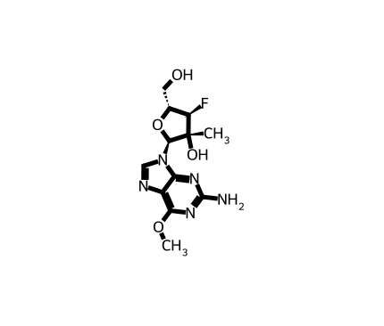 COc1nc(N)nc2c1ncn2[C@H]1O[C@H](CO)[C@@H](F)[C@]1(C)O